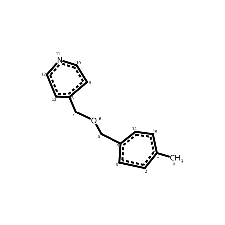 Cc1ccc(COCc2ccncc2)cc1